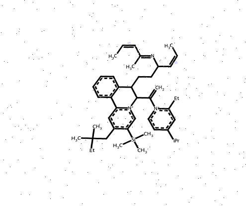 C=C(C1C(CCC(/C=C\C)N=C(C)/C=C\C)c2ccccc2-c2cc(CC(C)(C)CC)c([Si](C)(C)C)c[n+]21)[n+]1ccc(C(C)C)cc1CC